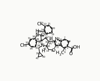 Cc1c(C(=O)O)ccc2nn3c(c12)OC[C@@H]1[C@H]3[C@@H](c2cccc(Cl)c2F)[C@@]2(C(=O)Nc3cc(Cl)ccc32)N1CC1CC1